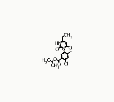 CCc1cc(=O)n(-c2cc(C(=O)OC(C)C)c(Cl)cc2F)c(=O)[nH]1